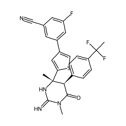 CN1C(=N)N[C@](C)(c2cc(-c3cc(F)cc(C#N)c3)cs2)[C@@H](c2ccc(C(C)(F)F)cc2)C1=O